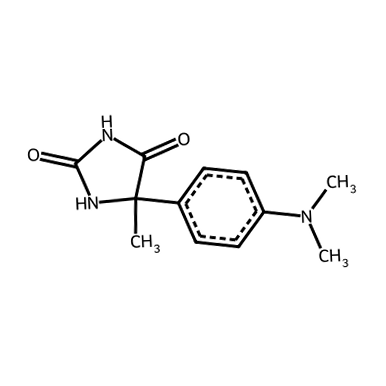 CN(C)c1ccc(C2(C)NC(=O)NC2=O)cc1